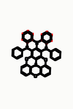 c1ccc(N(c2ccccc2)c2c3c4c(c(N(c5ccccc5)c5ccccc5)c2N(c2ccccc2)c2ccccc2)Oc2cccc5c2B4c2c(cccc2O3)O5)cc1